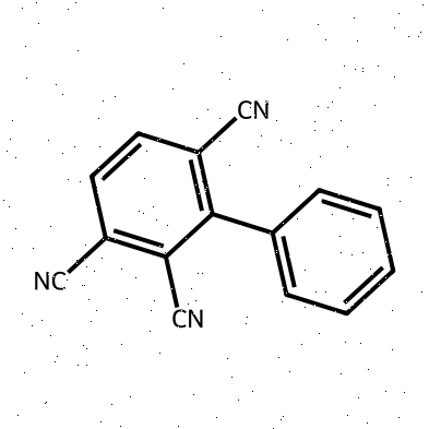 N#Cc1ccc(C#N)c(-c2ccccc2)c1C#N